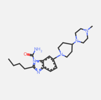 CCCCc1nc2ccc(N3CCC(N4CCN(C)CC4)CC3)cc2n1C(N)=O